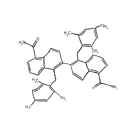 Cc1cc(C)c(Cc2c(-c3ccc4c(C(N)=O)cccc4c3Cc3c(C)cc(C)cc3C)ccc3c(C(N)=O)cccc23)c(C)c1